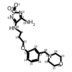 NC1=NS(=O)(=O)N=C1NCCCOc1cccc(CN2CCOCC2)c1